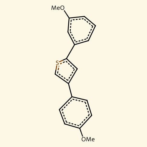 COc1ccc(-c2csc(-c3cccc(OC)c3)c2)cc1